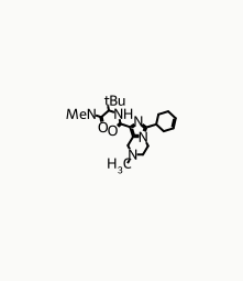 CNC(=O)C(NC(=O)c1nc(C2CC=CCC2)n2c1CN(C)CC2)C(C)(C)C